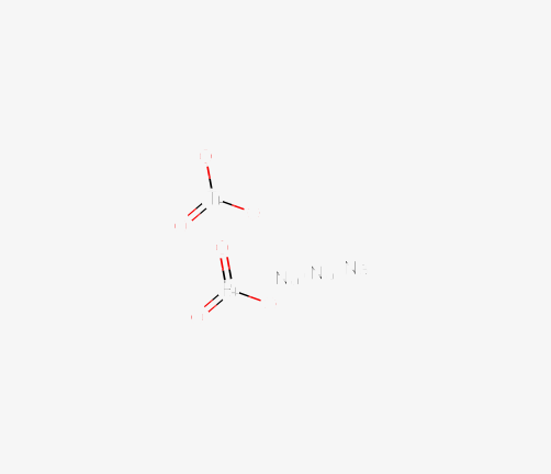 [Na+].[Na+].[Na+].[O]=[Bi](=[O])[O-].[O]=[Ti]([O-])[O-]